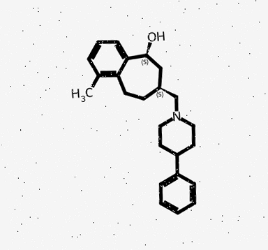 Cc1cccc2c1CC[C@H](CN1CCC(c3ccccc3)CC1)C[C@@H]2O